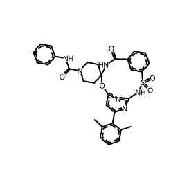 Cc1cccc(C)c1-c1cc2nc(n1)NS(=O)(=O)c1cccc(c1)C(=O)NC1(CCN(C(=O)Nc3ccccc3)CC1)O2